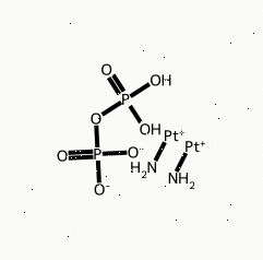 O=P([O-])([O-])OP(=O)(O)O.[NH2][Pt+].[NH2][Pt+]